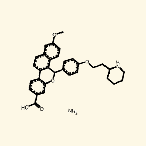 COc1ccc2c3c(ccc2c1)-c1ccc(C(=O)O)cc1OC3c1ccc(OCCC2CCCCN2)cc1.N